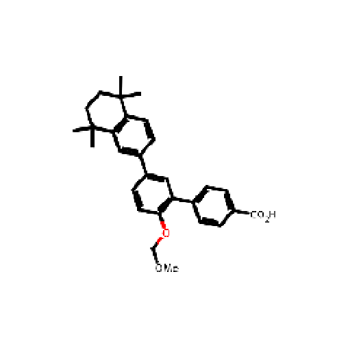 COCOc1ccc(-c2ccc3c(c2)C(C)(C)CCC3(C)C)cc1-c1ccc(C(=O)O)cc1